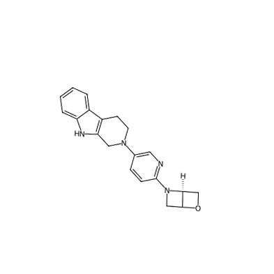 c1ccc2c3c([nH]c2c1)CN(c1ccc(N2CC4OC[C@@H]42)nc1)CC3